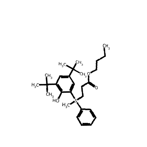 CCCCOC(=O)CCS(C)(c1ccccc1)c1cc(C(C)(C)C)cc(C(C)(C)C)c1O